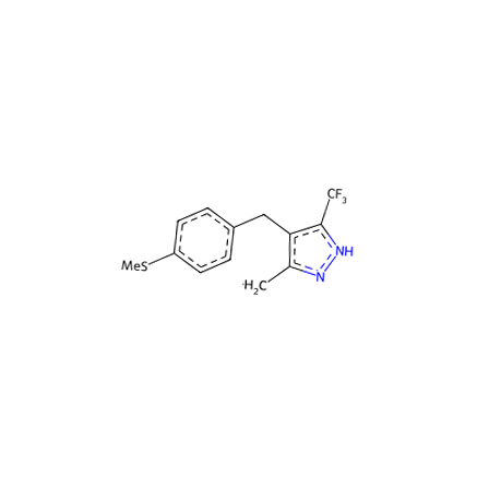 [CH2]c1n[nH]c(C(F)(F)F)c1Cc1ccc(SC)cc1